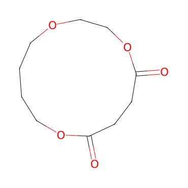 O=C1CCC(=O)OCCOCCCCO1